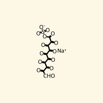 O=CC(=O)C(=O)C(=O)C(=O)C(=O)C(=O)C(=O)C(=O)C(=O)OS(=O)(=O)[O-].[Na+]